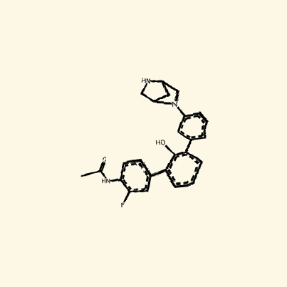 CC(=O)Nc1ccc(-c2cccc(-c3cccc(N4CC5CC4CN5)c3)c2O)cc1F